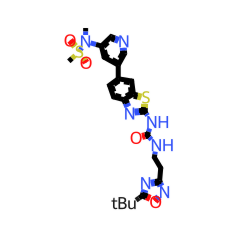 CN(c1cncc(-c2ccc3nc(NC(=O)NCCc4noc(C(C)(C)C)n4)sc3c2)c1)S(C)(=O)=O